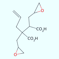 C=CCC(CC1CO1)(C(=O)O)C(CC1CO1)C(=O)O